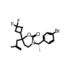 C=C(C)CC1(C2CC(F)(F)C2)CCN([C@@H](C)c2ccc(Br)cc2)C(=O)O1